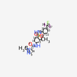 Cc1cc(NC(=O)c2ccnn2C)ccc1S(=O)(=O)Nc1cccc(C(F)(I)I)c1